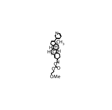 COCCOC(=O)ON=C1C=C2CC[C@H]3[C@H](CC[C@]4(C)C(c5cccnc5)=CC[C@@H]34)[C@@]2(C)CC1